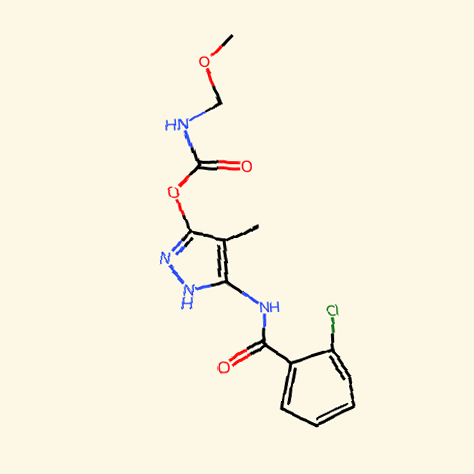 COCNC(=O)Oc1n[nH]c(NC(=O)c2ccccc2Cl)c1C